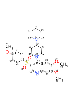 COc1ccc(S(=O)(=O)c2cnc3cc(OC)c(OC)cc3c2N2CCC(N3CCCCC3)CC2)cc1